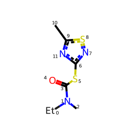 CCN(C)C(=O)Sc1nsc(C)n1